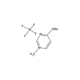 CSc1cc[n+](C)cn1.F[B-](F)(F)F